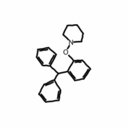 c1ccc([C](c2ccccc2)c2ccccc2ON2CCCCC2)cc1